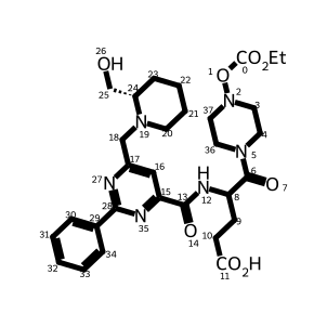 CCOC(=O)ON1CCN(C(=O)C(CCC(=O)O)NC(=O)c2cc(CN3CCCC[C@H]3CO)nc(-c3ccccc3)n2)CC1